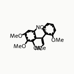 COc1ccccc1C(=CC#N)c1c([N+](=O)[O-])cc(OC)c(OC)c1OC